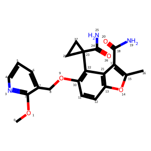 COc1ncccc1COc1ccc2oc(C)c(C(N)=O)c2c1C1(C(N)=O)CC1